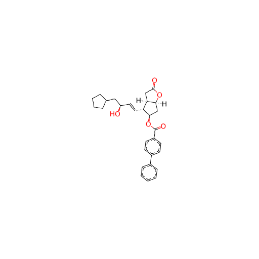 O=C1C[C@@H]2[C@@H](C=C[C@@H](O)CC3CCCC3)[C@H](OC(=O)c3ccc(-c4ccccc4)cc3)C[C@@H]2O1